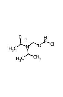 CC(C)N(COPCl)C(C)C